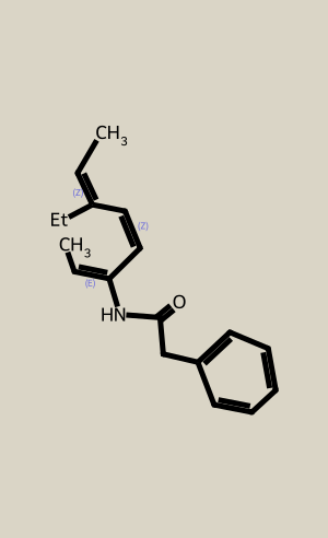 C\C=C(/C=C\C(=C/C)NC(=O)Cc1ccccc1)CC